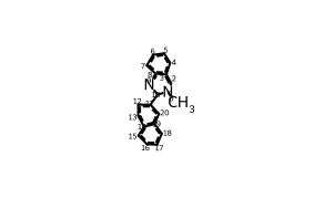 CN1C=c2ccccc2=NC1c1ccc2ccccc2c1